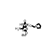 CC[C@H](C)Oc1nc(N)c2[nH]c(=O)n(CCCCN3CCCCC3)c2n1